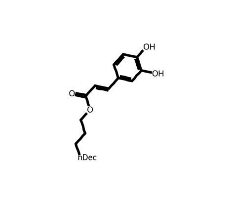 CCCCCCCCCCCCCOC(=O)C=Cc1ccc(O)c(O)c1